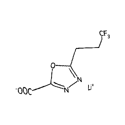 O=C([O-])c1nnc(CCC(F)(F)F)o1.[Li+]